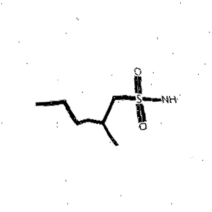 CCCC(C)CS([NH])(=O)=O